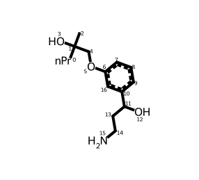 CCCC(C)(O)COc1cccc(C(O)CCN)c1